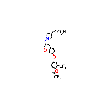 C[C@H](Oc1ccc(COc2ccc3c(c2)OCC(CN2CCC(CC(=O)O)CC2)=C3)cc1C(F)(F)F)C(F)(F)F